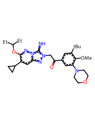 CCC(CC)Oc1nn2c(=N)n(CC(=O)c3cc(N4CCOCC4)c(OC)c(C(C)(C)C)c3)nc2cc1C1CC1